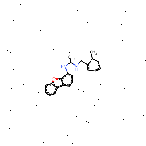 CC(NCC1=CC=CCC1C)Nc1cccc2c1oc1ccccc12